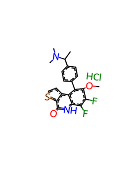 COc1c(F)c(F)c2[nH]c(=O)c3sccc3c2c1-c1ccc(C(C)N(C)C)cc1.Cl